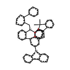 CC1(C)c2ccccc2-c2cccc(N(Cc3ccccc3-c3ccccc3)c3ccccc3-c3cc(-n4c5ccccc5c5ccccc54)cc4ccccc34)c21